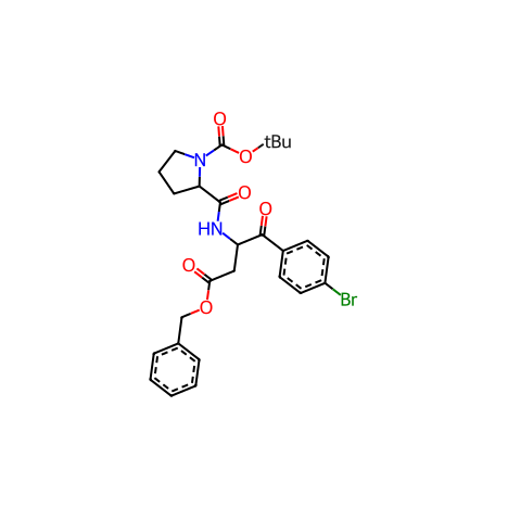 CC(C)(C)OC(=O)N1CCCC1C(=O)NC(CC(=O)OCc1ccccc1)C(=O)c1ccc(Br)cc1